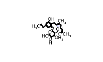 CCCc1cc(O)c(C/C=C(\C)CCC=C(C)C)c(OC2O[C@H](O)[C@@H](O)[C@H](O)[C@H]2CO)c1